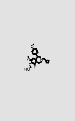 COc1ccc(C2CN(CC3CCC3)CCc3c2cc(OC)c(OC)c3F)cc1.Cl